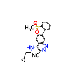 CS(=O)(=O)c1ccccc1-c1ccc2c(NCCC3CC3)c(C#N)nnc2c1